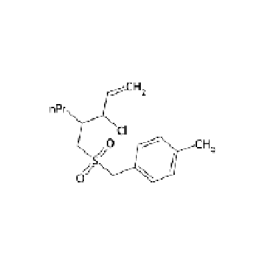 C=CC(Cl)C(CCC)CS(=O)(=O)Cc1ccc(C)cc1